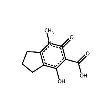 Cn1c2c(c(O)c(C(=O)O)c1=O)CCC2